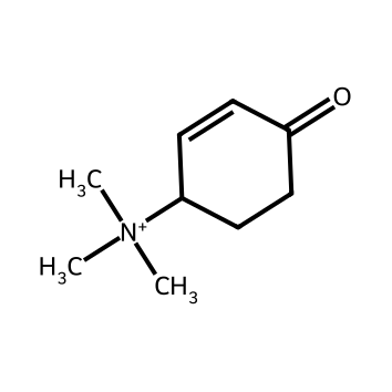 C[N+](C)(C)C1C=CC(=O)CC1